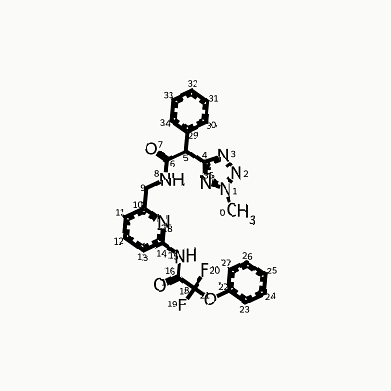 Cn1nnc(C(C(=O)NCc2cccc(NC(=O)C(F)(F)Oc3ccccc3)n2)c2ccccc2)n1